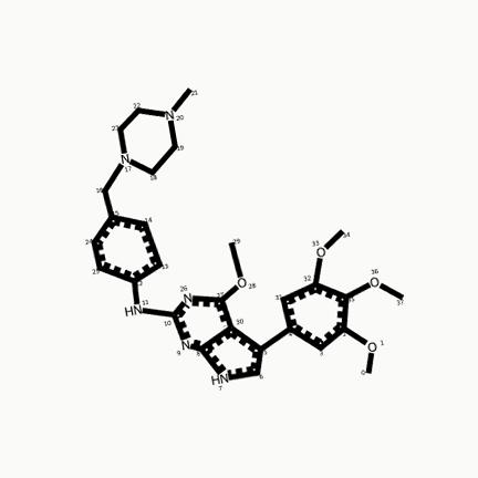 COc1cc(-c2c[nH]c3nc(Nc4ccc(CN5CCN(C)CC5)cc4)nc(OC)c23)cc(OC)c1OC